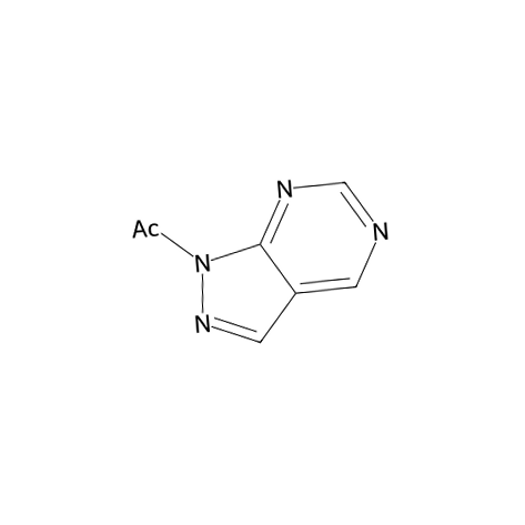 CC(=O)n1ncc2cncnc21